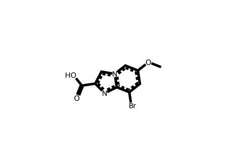 COc1cc(Br)c2nc(C(=O)O)cn2c1